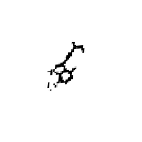 CCC(C)C#Cc1c[nH]c2c(N)ccc(C)c12